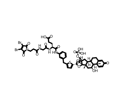 C[C@]12C=CC(=O)C=C1CC[C@@H]1[C@@H]2[C@@H](O)C[C@@]2(C)[C@H]1C[C@H]1O[C@@H](c3ccc(Cc4cccc(NC(=O)[C@H](CCC(=O)O)NC(=O)CNC(=O)CCN5C(=O)C(Br)=C(Br)C5=O)c4)s3)O[C@]12C(=O)COP(=O)(O)O